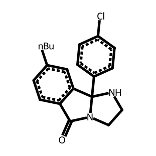 CCCCc1ccc2c(c1)C1(c3ccc(Cl)cc3)NCCN1C2=O